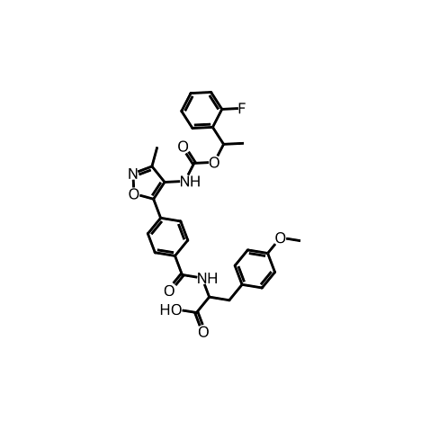 COc1ccc(CC(NC(=O)c2ccc(-c3onc(C)c3NC(=O)OC(C)c3ccccc3F)cc2)C(=O)O)cc1